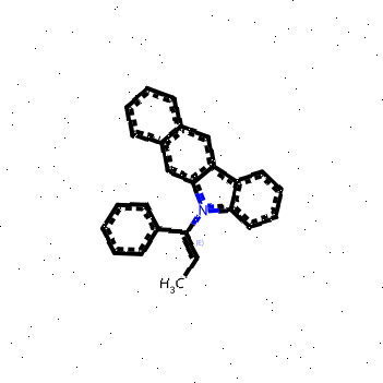 C/C=C(\c1ccccc1)n1c2ccccc2c2cc3ccccc3cc21